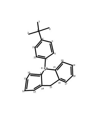 CC(C)(C)c1ccc([S+]2c3ccccc3Cc3ccccc32)cc1